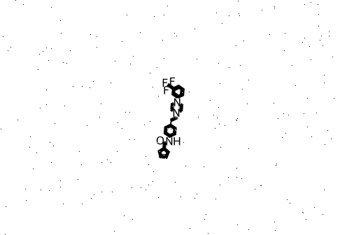 O=C(N[C@H]1CC[C@H](CCN2CCN(c3cccc(C(F)(F)F)c3)CC2)CC1)C1CC=CC1